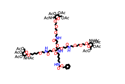 CC(=O)NC1C(OCCCCCOCCNC(=O)CCOCC(COCCC(=O)NCCOCCOCCOC2OC(COC(C)=O)C(OC(C)=O)C(OC(C)=O)C2NC(C)=O)(COCCC(=O)NCCOCCOCCOC2OC(COC(C)=O)C(OC(C)=O)C(OC(C)=O)C2NC(C)=O)NC(=O)CCCCCNC(=O)OCc2ccccc2)OC(COC(C)=O)C(OC(C)=O)C1OC(C)=O